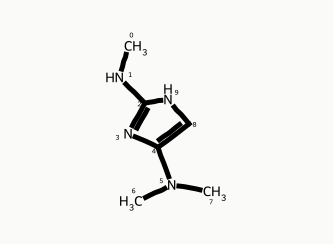 CNc1nc(N(C)C)c[nH]1